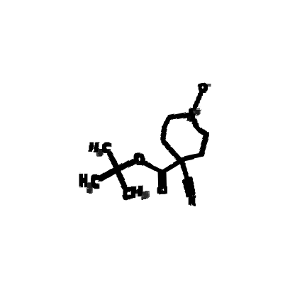 CC(C)(C)OC(=O)C1(C#N)CC[S+]([O-])CC1